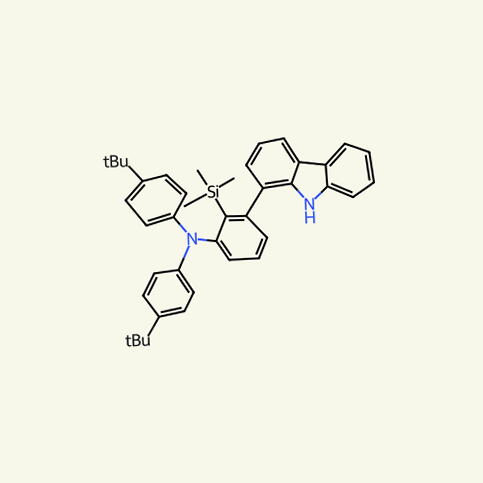 CC(C)(C)c1ccc(N(c2ccc(C(C)(C)C)cc2)c2cccc(-c3cccc4c3[nH]c3ccccc34)c2[Si](C)(C)C)cc1